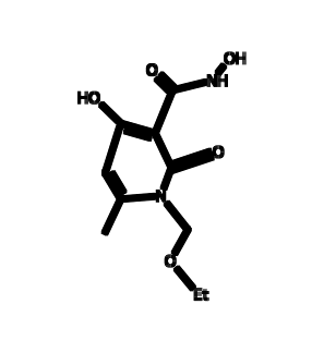 CCOCn1c(C)cc(O)c(C(=O)NO)c1=O